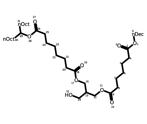 CCCCCCCCCCOC(=O)CCCCCC(=O)OCC(CO)COC(=O)CCCCCCC(=O)OC(CCCCCCCC)CCCCCCCC